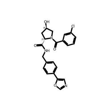 O=C(NCc1ccc(-c2cnco2)cc1)[C@@H]1C[C@@H](O)CN1C(=O)c1cccc(Cl)c1